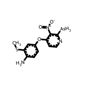 CSc1cc(Oc2ccnc([AsH2])c2[N+](=O)[O-])ccc1N